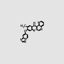 Cc1cc(Nc2ncnc3cccnc23)c(F)cc1Oc1ccn2ncnc2c1